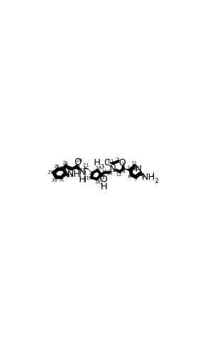 C[C@H]1CO[C@@H](c2ccc(N)nc2)CN1CC[C@@]1(O)CC[C@H](CNC(=O)c2cc3ccccc3[nH]2)C1